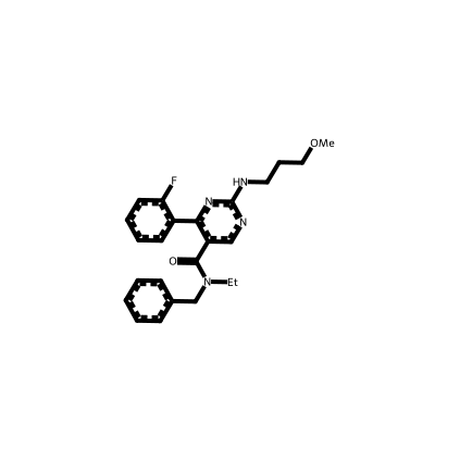 CCN(Cc1ccccc1)C(=O)c1cnc(NCCCOC)nc1-c1ccccc1F